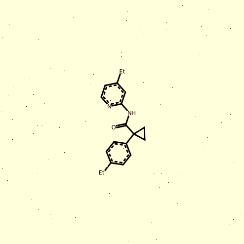 CCc1ccc(C2(C(=O)Nc3cc(CC)ccn3)CC2)cc1